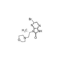 C[C@@H](CN1CCOCC1)n1c(=O)[nH]c2ncc(Br)nc21